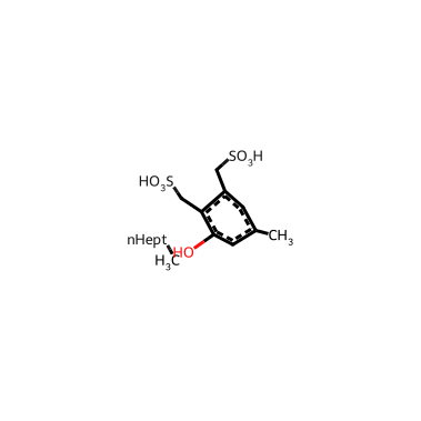 CCCCCCCC.Cc1cc(O)c(CS(=O)(=O)O)c(CS(=O)(=O)O)c1